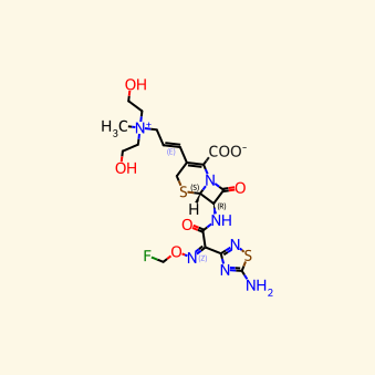 C[N+](C/C=C/C1=C(C(=O)[O-])N2C(=O)[C@@H](NC(=O)/C(=N\OCF)c3nsc(N)n3)[C@@H]2SC1)(CCO)CCO